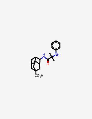 CC(C)(Nc1ccccc1)C(=O)NC1C2CC3CC1CC(C(=O)O)(C3)C2